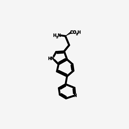 N[C@@H](Cc1c[nH]c2cc(-c3cccnc3)ccc12)C(=O)O